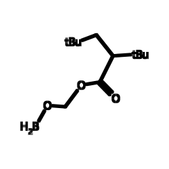 BOCOC(=O)C(CC(C)(C)C)C(C)(C)C